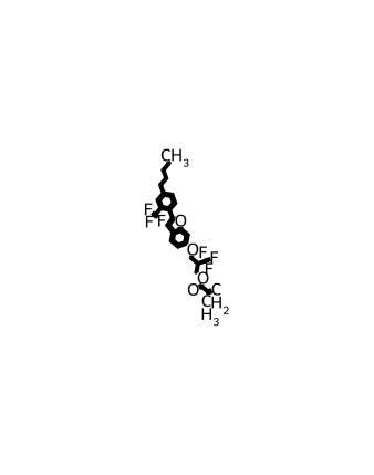 C=C(C)C(=O)OCC(COc1ccc2cc(-c3ccc(CCCCC)cc3C(F)(F)F)oc2c1)C(F)(F)F